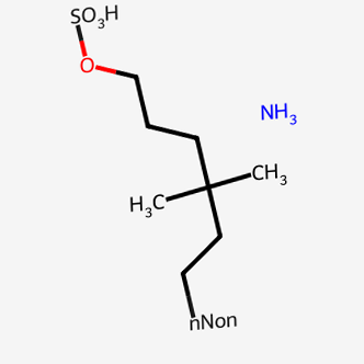 CCCCCCCCCCCC(C)(C)CCCOS(=O)(=O)O.N